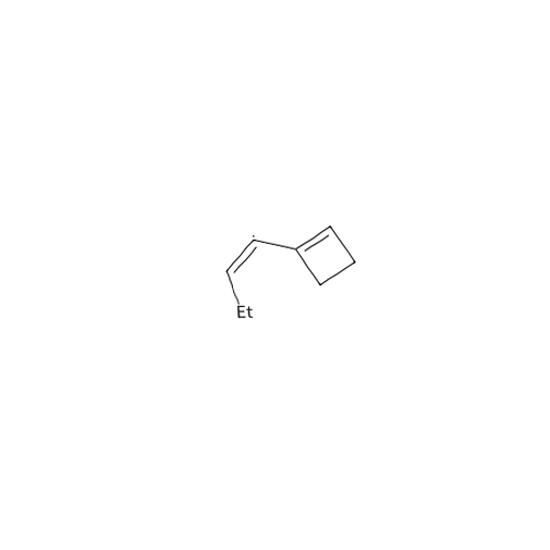 CC/C=[C]\C1=CCC1